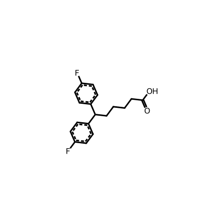 O=C(O)CCCCC(c1ccc(F)cc1)c1ccc(F)cc1